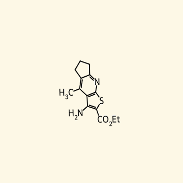 CCOC(=O)c1sc2nc3c(c(C)c2c1N)CCC3